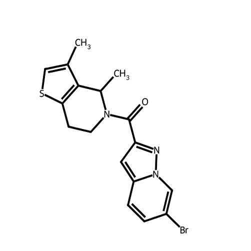 Cc1csc2c1C(C)N(C(=O)c1cc3ccc(Br)cn3n1)CC2